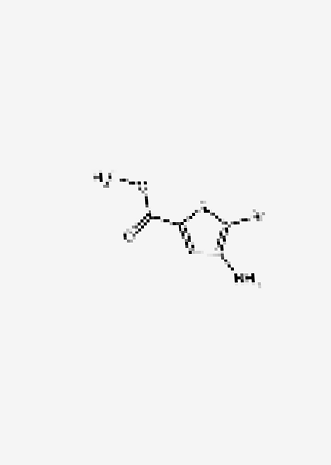 COC(=O)c1cc(N)c(Br)s1